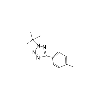 Cc1ccc(-c2nnn(C(C)(C)C)n2)cc1